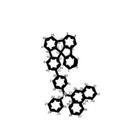 c1ccc2c(c#1)-c1cccc3c1C21c2cc(-c4ccc(N(c5ccccc5)c5cc6ccccc6c6ccccc56)cc4)ccc2-c2cccc-3c21